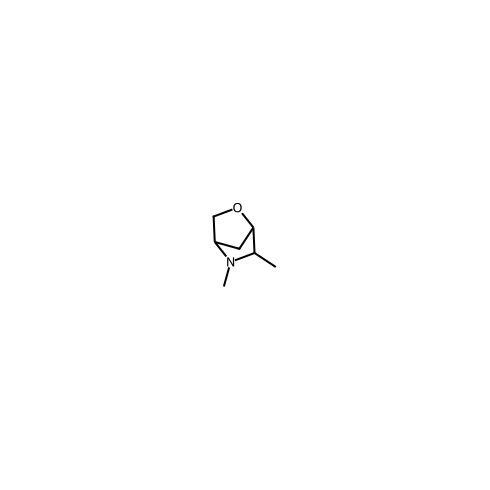 CC1C2CC(CO2)N1C